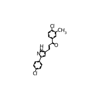 Cc1cc(C(=O)/C=C/c2cc(-c3ccc(Cl)cc3)n[nH]2)ccc1Cl